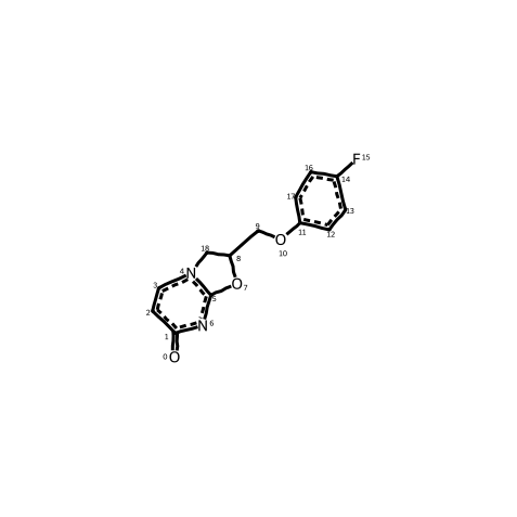 O=c1ccn2c(n1)OC(COc1ccc(F)cc1)C2